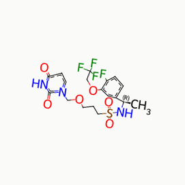 C[C@@H](NS(=O)(=O)CCCOCn1ccc(=O)[nH]c1=O)c1ccc(F)c(OCC(F)(F)F)c1